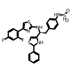 O=[SH](=O)Nc1ccc(C[C@H](Nc2nc(-c3ccc(F)cc3F)cs2)C2=CSC(c3ccccc3)N2)cc1